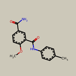 COc1ccc(C(N)=O)cc1C(=O)Nc1ccc(C)cc1